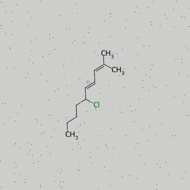 CCCCC(Cl)/C=C/C=C(C)C